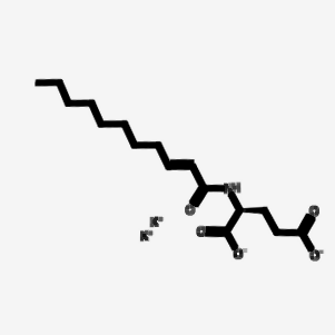 CCCCCCCCC=CC(=O)N[C@@H](CCC(=O)[O-])C(=O)[O-].[K+].[K+]